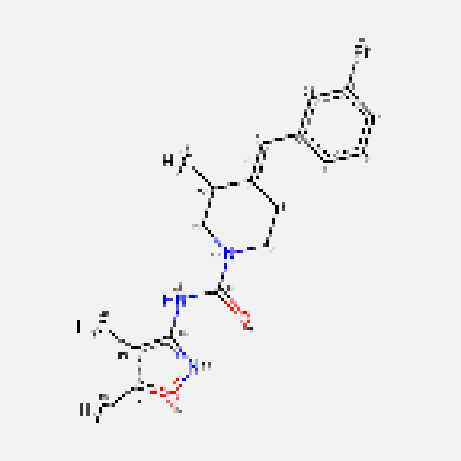 CCc1cccc(/C=C2\CCN(C(=O)Nc3noc(C)c3C)CC2C)c1